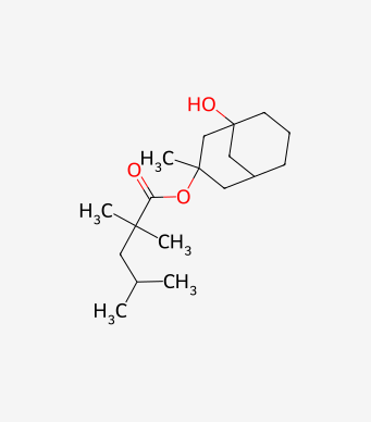 CC(C)CC(C)(C)C(=O)OC1(C)CC2CCCC(O)(C2)C1